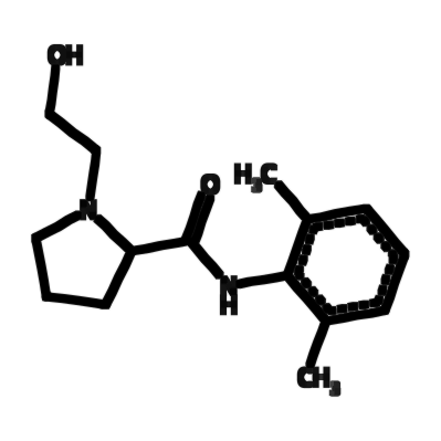 Cc1cccc(C)c1NC(=O)C1CCCN1CCO